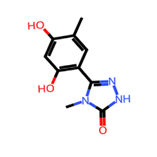 Cc1cc(-c2n[nH]c(=O)n2C)c(O)cc1O